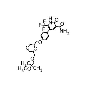 COC(C)(C)COCC1COCC(COc2ccc(-c3cc(C(N)=O)c(=O)[nH]c3C(F)(F)F)cc2)O1